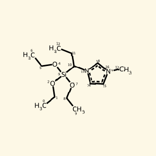 CCO[Si](OCC)(OCC)C(CC)n1cc[n+](C)c1